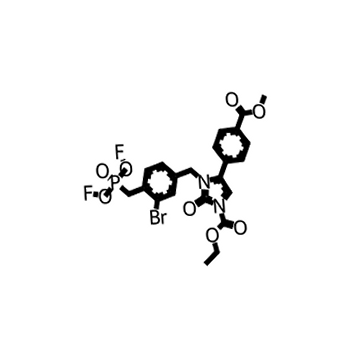 CCOC(=O)n1cc(-c2ccc(C(=O)OC)cc2)n(Cc2ccc(CP(=O)(OF)OF)c(Br)c2)c1=O